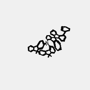 CC1(C)c2ccccc2-c2ccc(N(c3cccc4c3-c3ccccc3C4(C)C)c3cccc4c3-c3ccccc3C43c4ccccc4-c4c(-c5ccccc5)cccc43)cc21